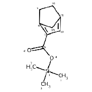 C[Si](C)(C)OC(=O)C1=C2CCC(=C1)C2